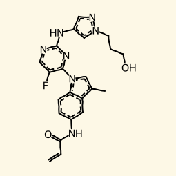 C=CC(=O)Nc1ccc2c(c1)c(C)cn2-c1nc(Nc2cnn(CCCO)c2)ncc1F